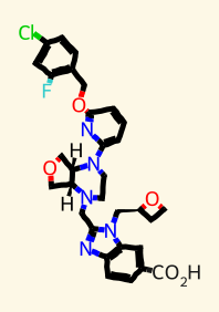 O=C(O)c1ccc2nc(CN3CCN(c4cccc(OCc5ccc(Cl)cc5F)n4)[C@H]4COC[C@H]43)n(C[C@@H]3CCO3)c2c1